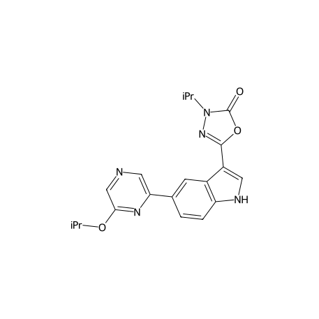 CC(C)Oc1cncc(-c2ccc3[nH]cc(-c4nn(C(C)C)c(=O)o4)c3c2)n1